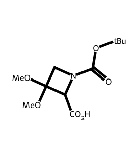 COC1(OC)CN(C(=O)OC(C)(C)C)C1C(=O)O